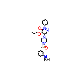 B=Nc1cccc(C[S+]([O-])N2CCN(c3cnn(-c4ccccc4)c(=O)c3OCC(C)C)CC2)c1